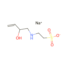 C=CC(O)CNCCS(=O)(=O)[O-].[Na+]